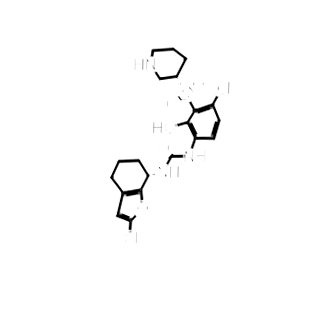 O=C(Nc1ccc(Cl)c(S(=O)(=O)[C@H]2CCCNC2)c1O)N[C@H]1CCCc2cc(C(F)(F)F)oc21